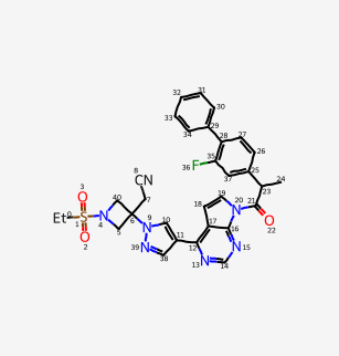 CCS(=O)(=O)N1CC(CC#N)(n2cc(-c3ncnc4c3ccn4C(=O)C(C)c3ccc(-c4ccccc4)c(F)c3)cn2)C1